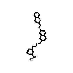 O=C(O)c1cccc(CCOCc2ccc3ccc(OCc4ccc5ccccc5n4)cc3c2)c1